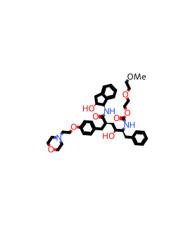 COCCOCCOC(=O)N[C@@H](Cc1ccccc1)[C@@H](O)C[C@@H](Cc1ccc(OCCN2CCOCC2)cc1)C(=O)N[C@H]1c2ccccc2C[C@H]1O